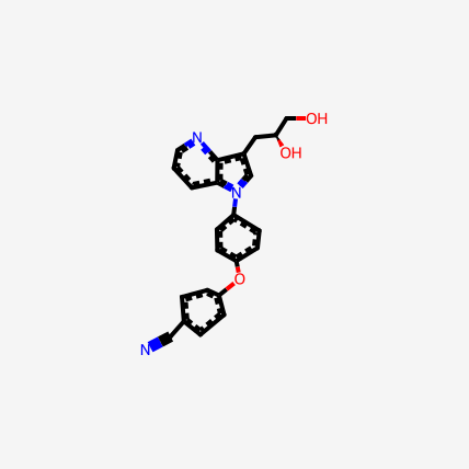 N#Cc1ccc(Oc2ccc(-n3cc(C[C@H](O)CO)c4ncccc43)cc2)cc1